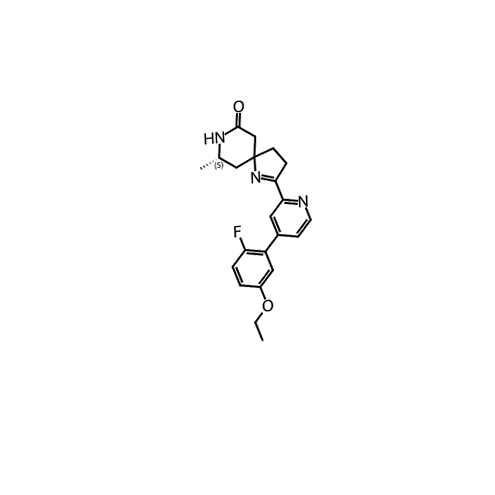 CCOc1ccc(F)c(-c2ccnc(C3=NC4(CC3)CC(=O)N[C@@H](C)C4)c2)c1